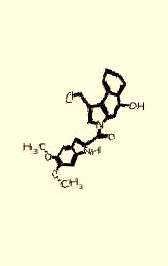 COc1cc2cc(C(=O)N3CC(CCl)c4c3cc(O)c3ccccc43)[nH]c2cc1OC